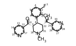 Cc1c(F)cccc1[C@@H]1[C@@H](C(=O)c2cccnc2)CN(C)C[C@H]1C(=O)c1cccnc1